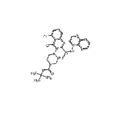 C[C@H](Nc1ncnc2cccnc12)c1nc2cccc(Cl)c2c(=O)n1N1CCN(C(=O)OC(C)(C)C)CC1